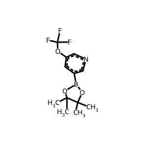 CC1(C)OB(c2cncc(OC(F)(F)F)c2)OC1(C)C